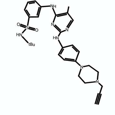 C#CCN1CCN(c2ccc(Nc3ncc(C)c(Nc4cccc(S(=O)(=O)NC(C)(C)C)c4)n3)cc2)CC1